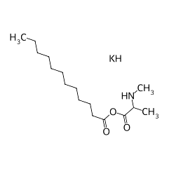 CCCCCCCCCCCC(=O)OC(=O)C(C)NC.[KH]